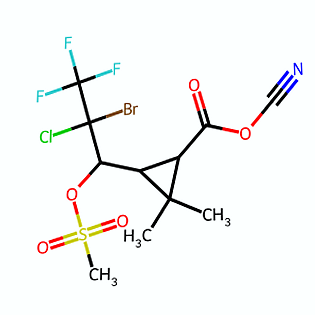 CC1(C)C(C(=O)OC#N)C1C(OS(C)(=O)=O)C(Cl)(Br)C(F)(F)F